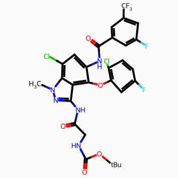 Cn1nc(NC(=O)CNC(=O)OC(C)(C)C)c2c(Oc3cc(F)ccc3Cl)c(NC(=O)c3cc(F)cc(C(F)(F)F)c3)cc(Cl)c21